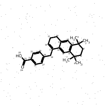 CC1(C)CCC(C)(C)c2cc3c(cc21)CCC=C3Cc1ccc(C(=O)O)cc1